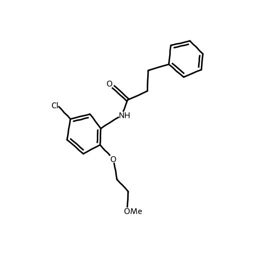 COCCOc1ccc(Cl)cc1NC(=O)CCc1ccccc1